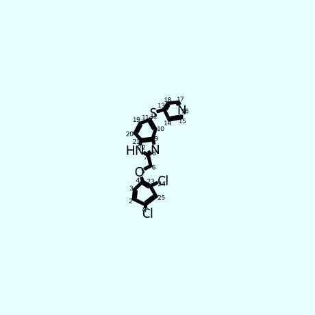 Clc1ccc(OCc2nc3cc(Sc4ccncc4)ccc3[nH]2)c(Cl)c1